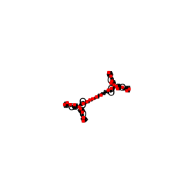 O=C(CCCCCCCCCCCCCCCCC(=O)OCC(c1ccc(OCc2ccccc2)cc1)c1ccc(OCc2ccccc2)cc1)OCC(c1ccc(OCc2ccccc2)cc1)c1ccc(OCc2ccccc2)cc1